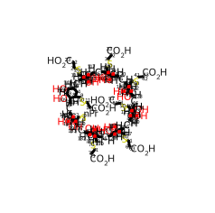 CCCSC[C@H]1C[C@@H]2C[C@@H]3[C@@H](CSCCC(=O)O)C[C@H](C[C@@H]4[C@@H](CSCCC(=O)O)C[C@H](C[C@@H]5[C@@H](CSCCC(=O)O)C[C@H](C[C@@H]6[C@@H](CSCCC(=O)O)C[C@H](C[C@@H]7[C@@H](CSCCC(=O)O)C[C@H](C[C@@H]8[C@@H](CSCCC(=O)O)C[C@H](C[C@@H]9[C@@H](CSCCC(=O)O)C[C@H](C[C@H]1[C@H](O)[C@H]2O)[C@H](O)[C@H]9O)[C@H](O)[C@H]8O)[C@H](O)[C@H]7O)[C@H](O)[C@H]6O)[C@H](O)[C@H]5O)[C@H](O)[C@H]4O)[C@H](O)[C@H]3O